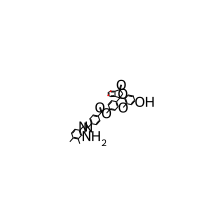 Cc1ccc(N=Nc2ccc(C(=O)Oc3ccc4c(c3)Oc3cc(O)ccc3C43OC(=O)c4ccccc43)cc2)c(N)c1C